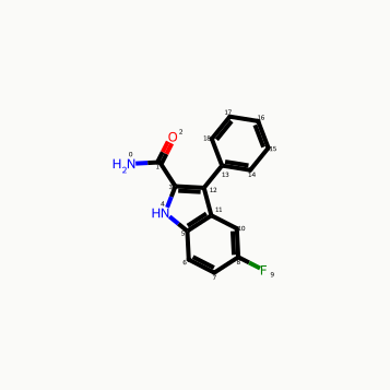 NC(=O)c1[nH]c2ccc(F)cc2c1-c1ccccc1